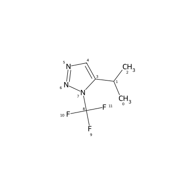 CC(C)c1cnnn1C(F)(F)F